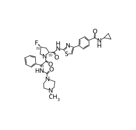 CN1CCN(C(=O)N[C@@H](C(=O)N2C[C@@H](F)C[C@H]2C(=O)Nc2nc(-c3ccc(C(=O)NC4CC4)cc3)cs2)c2ccccc2)CC1